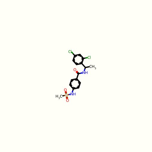 CC(NC(=O)c1ccc(NS(C)(=O)=O)cc1)c1ccc(Cl)cc1Cl